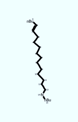 CCCCC=CCCCCCCCCCCC[N]CCCC